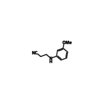 COc1cccc(NCCC#N)c1